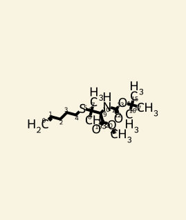 C=CCCCSC(C)(C)C(NC(=O)OC(C)(C)C)C(=O)OC